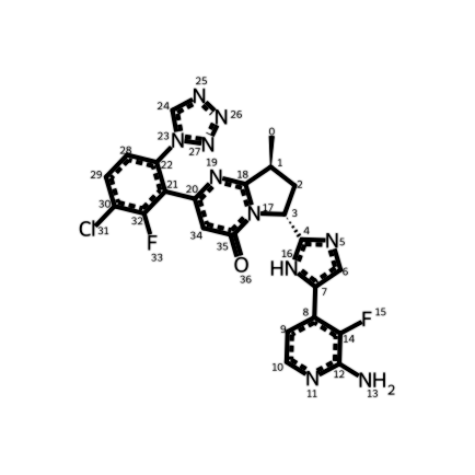 C[C@H]1C[C@H](c2ncc(-c3ccnc(N)c3F)[nH]2)n2c1nc(-c1c(-n3cnnn3)ccc(Cl)c1F)cc2=O